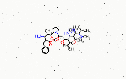 CC[C@H](C)[C@@H](C(NC)[C@H](C(N)[C@H](C(C)C)N(C)C)[C@@H](C)O)[C@@H](CC(=O)N1CCC[C@H]1[C@H](OC)[C@H](C)C(N)C(Cc1ccccc1)C(=O)O)OC